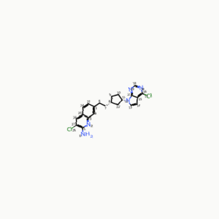 Nc1nc2cc(CC[C@@H]3CC[C@H](n4ccc5c(Cl)ncnc54)C3)ccc2cc1Cl